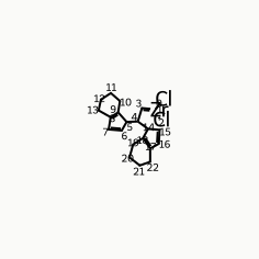 [Cl][Zr]([Cl])=[CH]C(C1C=CC2=C1CCCC2)C1C=CC2=C1CCCC2